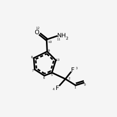 C=CC(F)(F)c1cccc(C(N)=O)c1